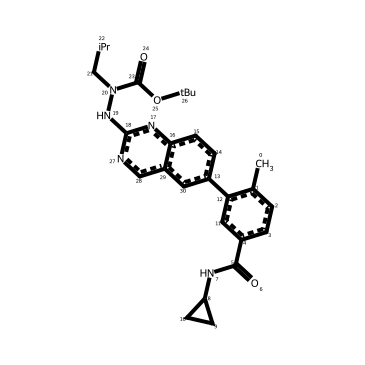 Cc1ccc(C(=O)NC2CC2)cc1-c1ccc2nc(NN(CC(C)C)C(=O)OC(C)(C)C)ncc2c1